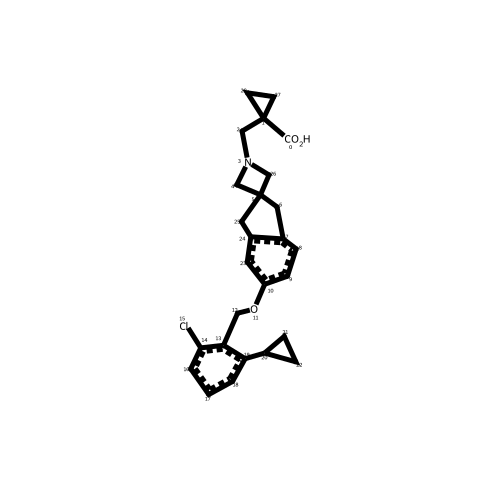 O=C(O)C1(CN2CC3(Cc4ccc(OCc5c(Cl)cccc5C5CC5)cc4C3)C2)CC1